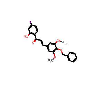 COc1cc(C=CC(=O)c2ccc(I)cc2O)cc(OC)c1OCc1ccccc1